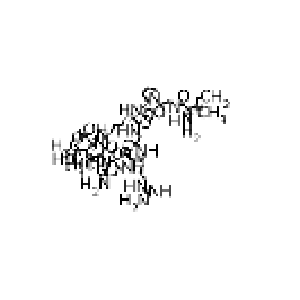 CC[C@H](C)[C@H](N)C(=O)NCC(=O)N1CCC[C@H]1C(=O)N[C@@H](CCCCN)C(=O)NCC(=O)N[C@@H](CCCNC(=N)N)C(=O)N[C@@H](CC(N)=O)C(=O)N[C@H](C(=O)N[C@@H](CC(C)C)C(=O)O)C(C)C